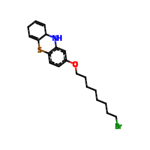 BrCCCCCCCCOc1ccc2c(c1)NC1C=CCC=C1S2